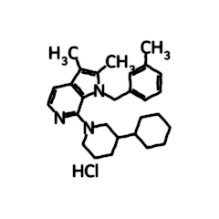 Cc1cccc(Cn2c(C)c(C)c3ccnc(N4CCCC(C5CCCCC5)C4)c32)c1.Cl